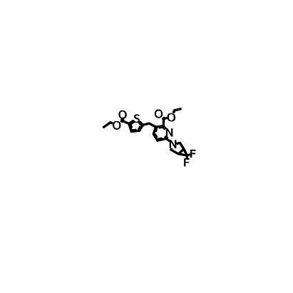 CCOC(=O)c1ccc(Cc2ccc(N3CC4C(C3)C4(F)F)nc2C(=O)OCC)s1